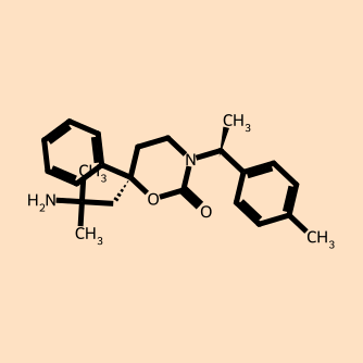 Cc1ccc([C@H](C)N2CC[C@](CC(C)(C)N)(c3ccccc3)OC2=O)cc1